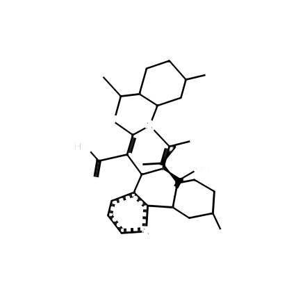 CC1=C(C(=O)O)C(c2cccnc2C2CC(C)CCC2C(C)C)C(C(=O)O)=C(C)N1C1CC(C)CCC1C(C)C